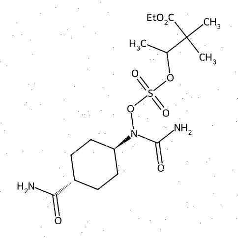 CCOC(=O)C(C)(C)C(C)OS(=O)(=O)ON(C(N)=O)[C@H]1CC[C@H](C(N)=O)CC1